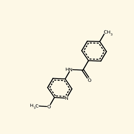 COc1ccc(NC(=O)c2ccc(C)cc2)cn1